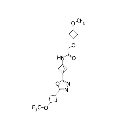 O=C(CO[C@H]1C[C@@H](OC(F)(F)F)C1)NC12CC(c3nnc([C@H]4C[C@@H](OC(F)(F)F)C4)o3)(C1)C2